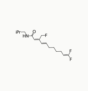 CC(C)CNC(=O)C=C(C=CCCCCC=C(F)F)CF